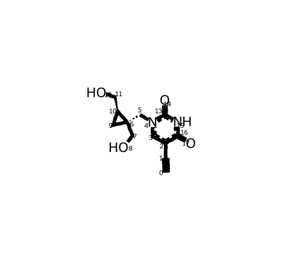 C#Cc1cn(C[C@]2(CO)C[C@H]2CO)c(=O)[nH]c1=O